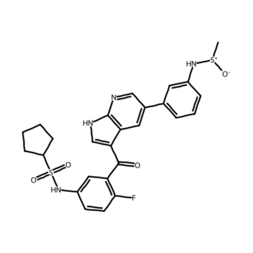 C[S+]([O-])Nc1cccc(-c2cnc3[nH]cc(C(=O)c4cc(NS(=O)(=O)C5CCCC5)ccc4F)c3c2)c1